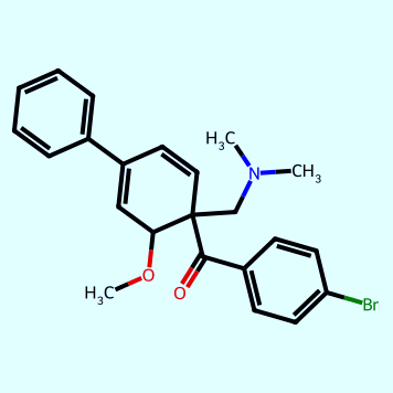 COC1C=C(c2ccccc2)C=CC1(CN(C)C)C(=O)c1ccc(Br)cc1